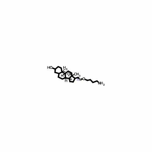 C[C@]12CCC(O)CC1CC[C@@H]1[C@H]2CC[C@]2(C)C(/C=N/OCCCCN)CC[C@@]12O